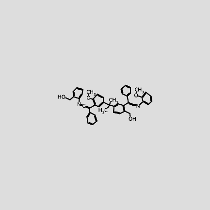 COc1ccccc1N=C=C(c1ccccc1)c1cc(C(C)(C)c2ccc(OC)c(C(=C=Nc3ccccc3CO)c3ccccc3)c2)ccc1CO